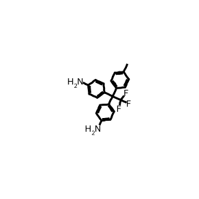 Cc1ccc(C(c2ccc(N)cc2)(c2ccc(N)cc2)C(F)(F)F)cc1